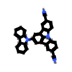 N#Cc1ccc2c(c1)c1cc(-n3c4ccccc4c4ccccc43)cc3c4cc(C#N)ccc4n2c13